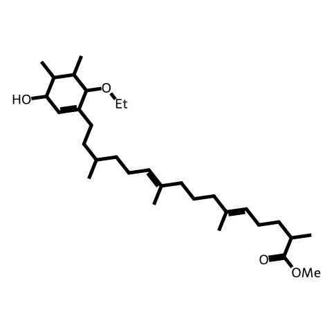 CCOC1C(CCC(C)CC/C=C(\C)CCC/C(C)=C/CCC(C)C(=O)OC)=CC(O)C(C)C1C